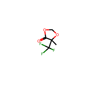 CC1(C(F)(F)F)OCOC1=O